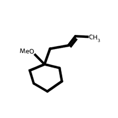 C/C=C/CC1(OC)CCCCC1